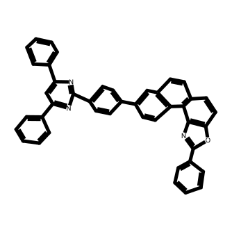 c1ccc(-c2cc(-c3ccccc3)nc(-c3ccc(-c4ccc5c(ccc6ccc7oc(-c8ccccc8)nc7c65)c4)cc3)n2)cc1